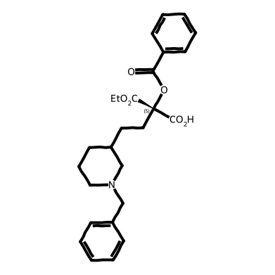 CCOC(=O)[C@@](CCC1CCCN(Cc2ccccc2)C1)(OC(=O)c1ccccc1)C(=O)O